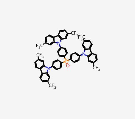 O=P(c1ccc(-n2c3cc(C(F)(F)F)ccc3c3ccc(C(F)(F)F)cc32)cc1)(c1ccc(-n2c3cc(C(F)(F)F)ccc3c3ccc(C(F)(F)F)cc32)cc1)c1ccc(-n2c3cc(C(F)(F)F)ccc3c3ccc(C(F)(F)F)cc32)cc1